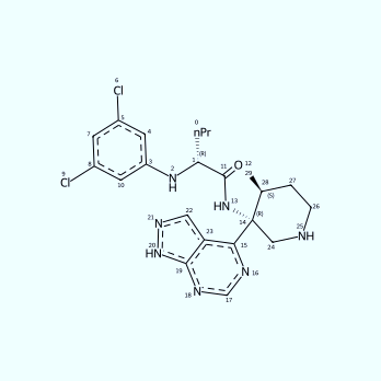 CCC[C@@H](Nc1cc(Cl)cc(Cl)c1)C(=O)N[C@@]1(c2ncnc3[nH]ncc23)CNCC[C@@H]1C